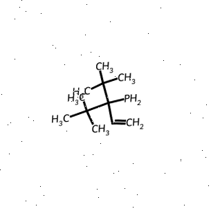 C=CC(P)(C(C)(C)C)C(C)(C)C